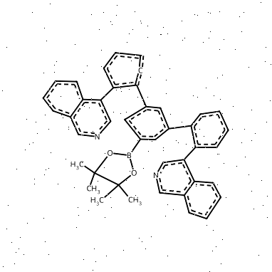 CC1(C)OB(c2cc(-c3ccccc3-c3cncc4ccccc34)cc(-c3ccccc3-c3cncc4ccccc34)c2)OC1(C)C